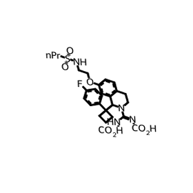 CCCS(=O)(=O)NCCOc1ccc2c(c1)C(C1(c3ccc(F)cc3)CCC1)N(C(=NC(=O)O)NC(=O)O)CC2